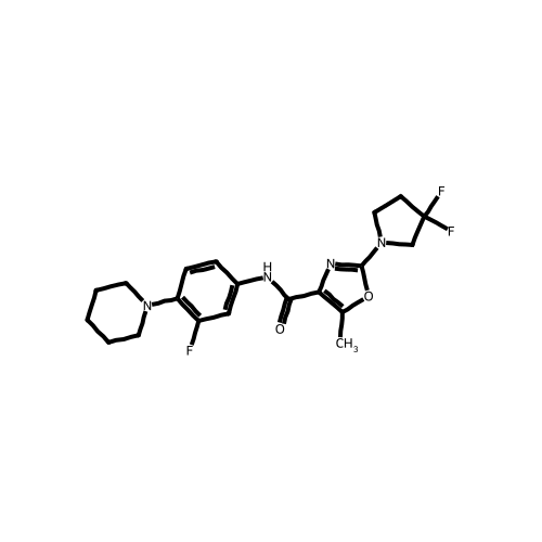 Cc1oc(N2CCC(F)(F)C2)nc1C(=O)Nc1ccc(N2CCCCC2)c(F)c1